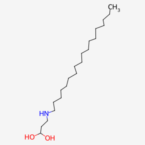 CCCCCCCCCCCCCCCCCCNCCC(O)O